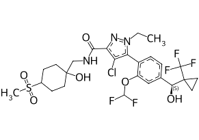 CCn1nc(C(=O)NCC2(O)CCC(S(C)(=O)=O)CC2)c(Cl)c1-c1ccc([C@H](O)C2(C(F)(F)F)CC2)cc1OC(F)F